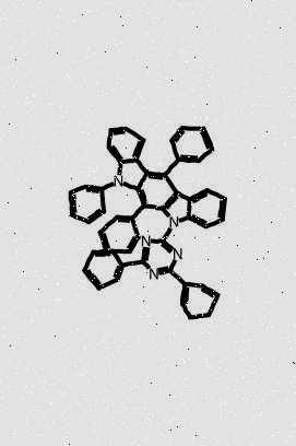 C1=CC(c2nc(-c3ccccc3)nc(-n3c4ccccc4c4c(-c5ccccc5)c5c6ccccc6n(-c6ccccc6)c5c(-c5ccccc5)c43)n2)=CCC1